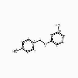 Oc1ccc(COc2cccc(Cl)c2)cc1